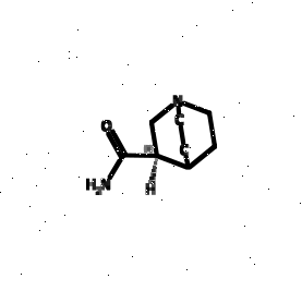 NC(=O)[C@H]1CN2CCC1CC2